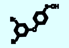 OSc1ccc(Oc2cc(Br)cc(Br)c2)cc1